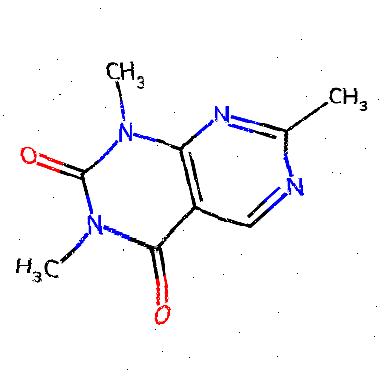 Cc1ncc2c(=O)n(C)c(=O)n(C)c2n1